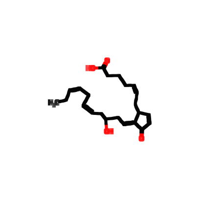 CC/C=C\C/C=C\CC(O)C/C=C1/C(=O)C=CC1C/C=C\CCCC(=O)O